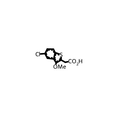 COc1c(CC(=O)O)sc2ccc(Cl)cc12